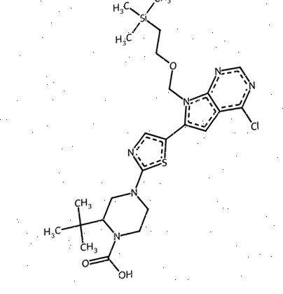 CC(C)(C)C1CN(c2ncc(-c3cc4c(Cl)ncnc4n3COCC[Si](C)(C)C)s2)CCN1C(=O)O